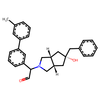 Cc1cccc(-c2cccc(C(C=O)N3C[C@@H]4C[C@@](O)(Cc5ccccc5)C[C@@H]4C3)c2)c1